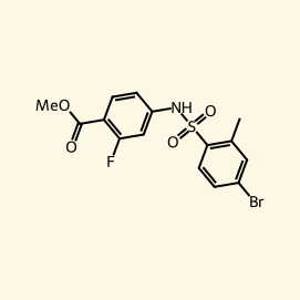 COC(=O)c1ccc(NS(=O)(=O)c2ccc(Br)cc2C)cc1F